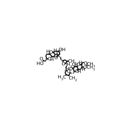 C=C1C[C@H](CC[C@]23C[C@@H](O)C(O2)[C@@H]2O[C@H]4CC[C@H](CC(=O)O)O[C@@H]4C(O3)C2I)O[C@H]1CC[C@H]1C[C@@H](C)C(=C)[C@@H](C[C@@H]2O[C@H]3C[C@H]4OC(C)(C)OC[C@H]4O[C@H]3[C@H](C)[C@H]2O)O1